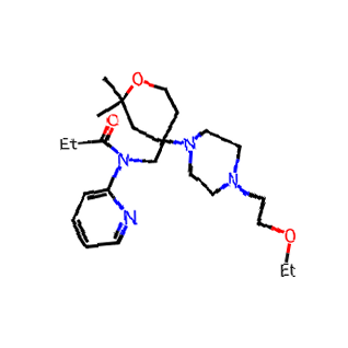 CCOCCN1CCN(C2(CN(C(=O)CC)c3ccccn3)CCOC(C)(C)C2)CC1